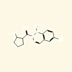 O=C(C1CCCC1O)N1N=Cc2cc(Cl)ccc2B1O